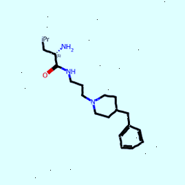 CC(C)C[C@H](N)C(=O)NCCCN1CCC(Cc2ccccc2)CC1